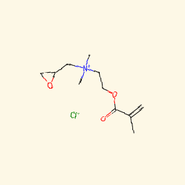 C=C(C)C(=O)OCC[N+](C)(C)CC1CO1.[Cl-]